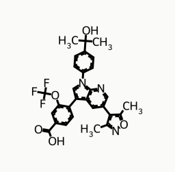 Cc1noc(C)c1-c1cnc2c(c1)c(-c1ccc(C(=O)O)cc1OC(F)(F)F)cn2-c1ccc(C(C)(C)O)cc1